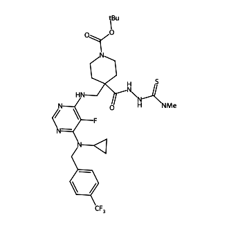 CNC(=S)NNC(=O)C1(CNc2ncnc(N(Cc3ccc(C(F)(F)F)cc3)C3CC3)c2F)CCN(C(=O)OC(C)(C)C)CC1